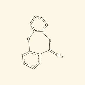 C=C1Sc2ccccc2Oc2ccccc21